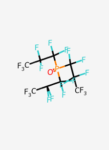 O=P(C(F)(F)C(F)(F)C(F)(F)F)(C(F)(F)C(F)(F)C(F)(F)F)C(F)(F)C(F)(F)C(F)(F)F